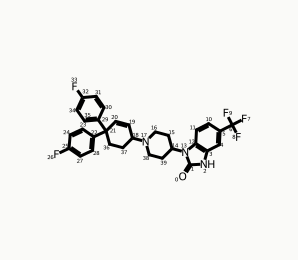 O=c1[nH]c2cc(C(F)(F)F)ccc2n1C1CCN(C2C=CC(c3ccc(F)cc3)(c3ccc(F)cc3)CC2)CC1